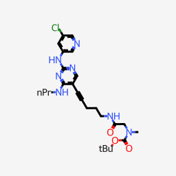 CCCNc1nc(Nc2cncc(Cl)c2)ncc1C#CCCCNC(=O)CN(C)C(=O)OC(C)(C)C